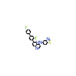 Fc1ccc(-c2ccc(-c3ccc4nccc(Nc5ccc6scnc6c5)c4c3)c(F)c2)cc1